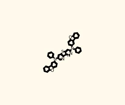 c1ccc(N(c2cnc3c(c2)sc2cc(N(c4ccccc4)c4ccc5oc6ccccc6c5c4)nnc23)c2ccc3oc4ccccc4c3c2)cc1